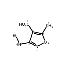 CCNc1noc(C)c1C(=O)O